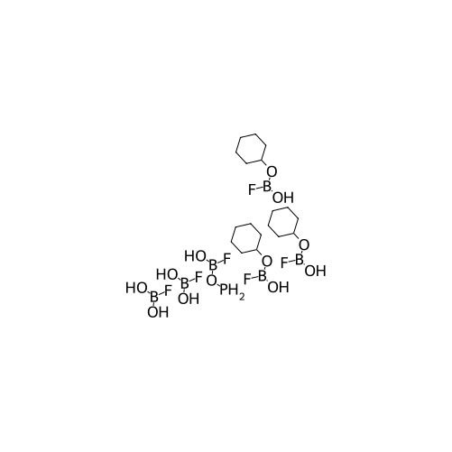 OB(F)OC1CCCCC1.OB(F)OC1CCCCC1.OB(F)OC1CCCCC1.OB(F)OP.OB(O)F.OB(O)F